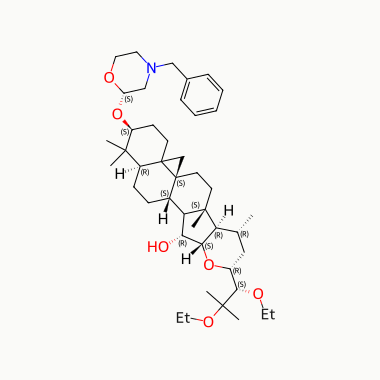 CCO[C@@H]([C@H]1C[C@@H](C)[C@H]2[C@H](O1)[C@H](O)C1[C@@H]3CC[C@H]4C(C)(C)[C@@H](O[C@H]5CN(Cc6ccccc6)CCO5)CCC45C[C@@]35CC[C@@]12C)C(C)(C)OCC